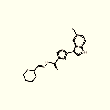 O=C(N/N=C/C1CCCCC1)c1csc(-c2c[nH]c3ccc(Br)cc23)n1